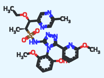 CCO[C@@H](c1cnc(C)cn1)[C@@H](C)S(=O)(=O)Nc1nnc(-c2c#ccc(OC)n2)n1-c1c(O)cccc1OC